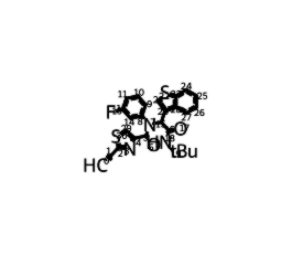 C#Cc1nc(C(=O)N(c2cccc(F)c2)C(C(=O)NC(C)(C)C)c2csc3ccccc23)cs1